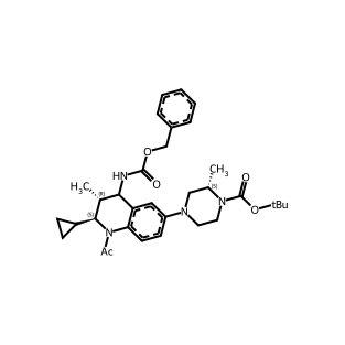 CC(=O)N1c2ccc(N3CCN(C(=O)OC(C)(C)C)[C@@H](C)C3)cc2C(NC(=O)OCc2ccccc2)[C@@H](C)[C@@H]1C1CC1